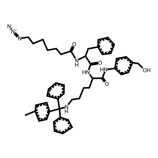 Cc1ccc(C(NCCCCC(NC(=O)C(Cc2ccccc2)NC(=O)CCCCCCN=[N+]=[N-])C(=O)Nc2ccc(CO)cc2)(c2ccccc2)c2ccccc2)cc1